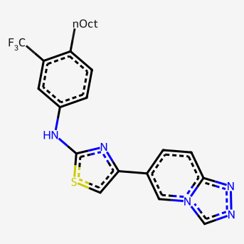 CCCCCCCCc1ccc(Nc2nc(-c3ccc4nncn4c3)cs2)cc1C(F)(F)F